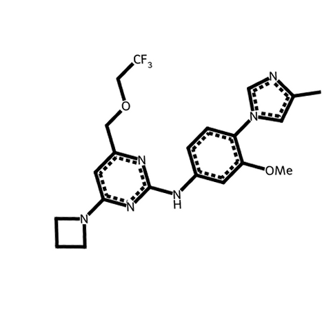 COc1cc(Nc2nc(COCC(F)(F)F)cc(N3CCC3)n2)ccc1-n1cnc(C)c1